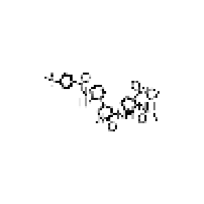 CCC(=O)Nc1cc(Nc2cc(-c3cccc(NC(=O)c4ccc(C(C)(C)C)cc4)c3C)cn(C)c2=O)ccc1C(=O)N1CCCC1